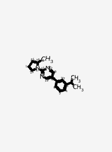 CC(C)c1cccc(-c2cnc(N3CCCC3C)nc2)c1